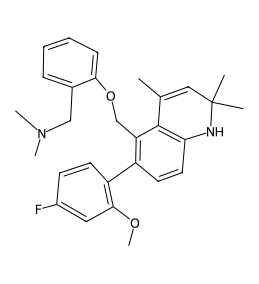 COc1cc(F)ccc1-c1ccc2c(c1COc1ccccc1CN(C)C)C(C)=CC(C)(C)N2